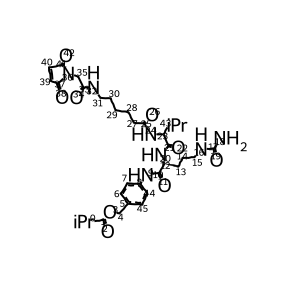 CC(C)C(=O)OCc1ccc(NC(=O)[C@H](CCCNC(N)=O)NC(=O)C(NC(=O)CCCCCNC(=O)CN2C(=O)C=CC2=O)C(C)C)cc1